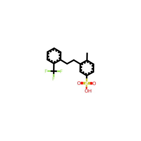 Cc1ccc(S(=O)(=O)O)cc1CCc1ccccc1C(F)(F)F